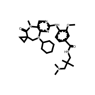 COc1cc(C(=O)NCC(C)(C)CN(C)C)ccc1Nc1ncc2c(n1)N(C1CCCCC1)CC1(CC1)C(=O)N2C